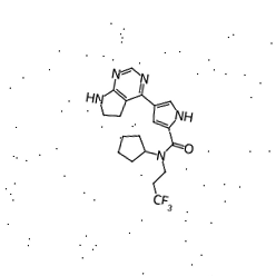 O=C(c1cc(-c2ncnc3c2CCN3)c[nH]1)N(CCC(F)(F)F)C1CCCC1